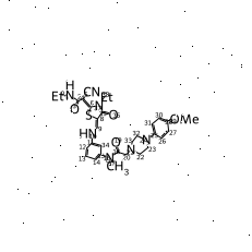 CCNC(=O)C(C#N)=c1sc(=CNc2cccc(N(C)C(=O)CN3CCN(c4ccc(OC)cc4)CC3)c2)c(=O)n1CC